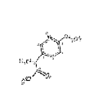 COc1ccc(C(C)C(=O)O)cn1